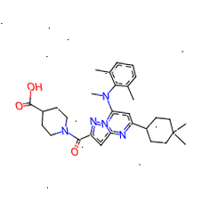 Cc1cccc(C)c1N(C)c1cc(C2CCC(C)(C)CC2)nc2cc(C(=O)N3CCC(C(=O)O)CC3)nn12